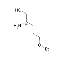 CCOCCC[C@H](N)CO